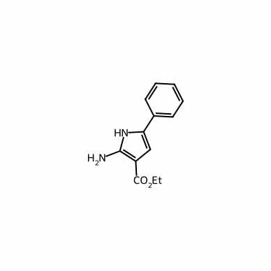 CCOC(=O)c1cc(-c2ccccc2)[nH]c1N